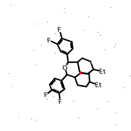 CCC1CCC(C(OC(c2ccc(F)c(F)c2)C2CCC(CC)CC2)c2ccc(F)c(F)c2)CC1